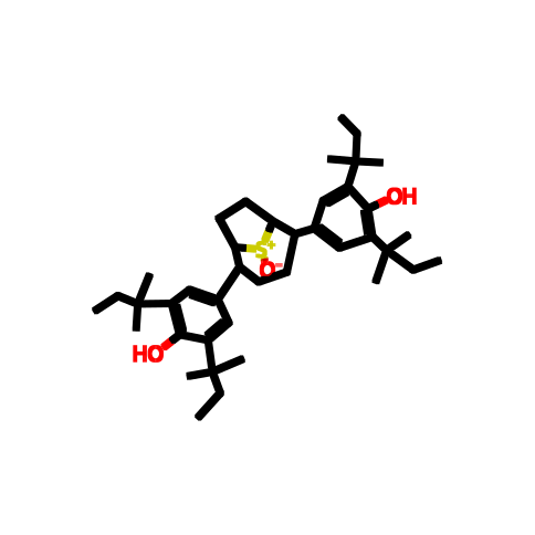 CCC(C)(C)c1cc(C2CCC(c3cc(C(C)(C)CC)c(O)c(C(C)(C)CC)c3)C3CCC2[S+]3[O-])cc(C(C)(C)CC)c1O